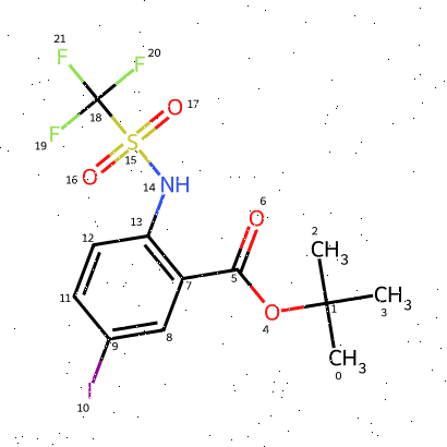 CC(C)(C)OC(=O)c1cc(I)ccc1NS(=O)(=O)C(F)(F)F